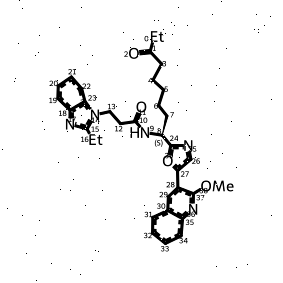 CCC(=O)CCCCC[C@H](NC(=O)CCn1c(CC)nc2ccccc21)c1ncc(-c2cc3ccccc3nc2OC)o1